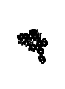 CN/C=C(\C=N)c1cc(Nc2nc(Nc3ccc4nccnc4c3P(C)C)c3cc[nH]c3n2)c2c(c1N1CCC(N3CCOCC3)CC1)CCCO2